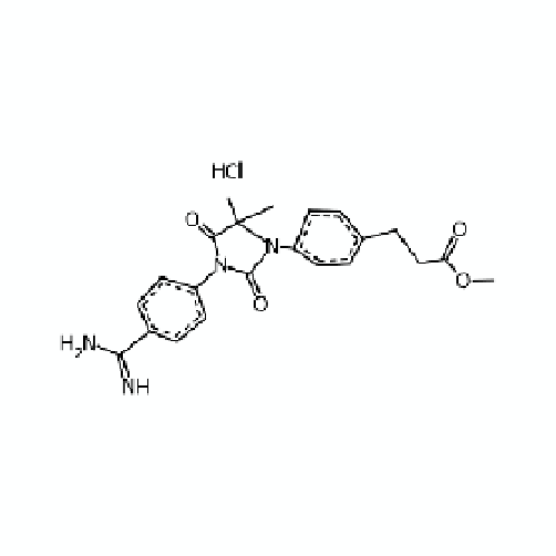 COC(=O)CCc1ccc(N2C(=O)N(c3ccc(C(=N)N)cc3)C(=O)C2(C)C)cc1.Cl